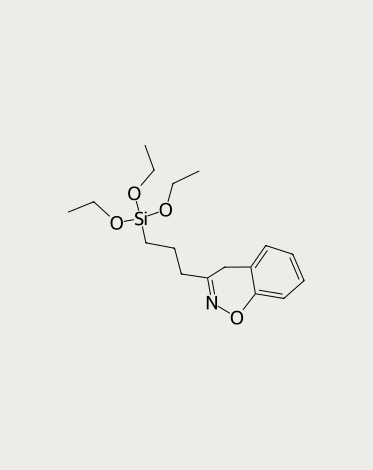 CCO[Si](CCCC1=NOc2ccccc2C1)(OCC)OCC